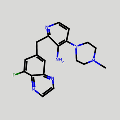 CN1CCN(c2ccnc(Cc3cc(F)c4nccnc4c3)c2N)CC1